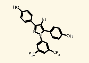 CCc1c(-c2ccc(O)cc2)nn(-c2cc(C(F)(F)F)cc(C(F)(F)F)c2)c1-c1ccc(O)cc1